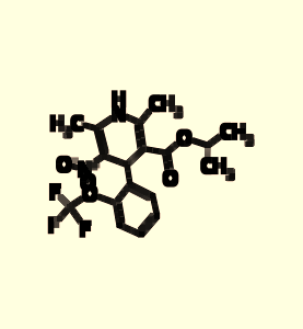 CC1=C(C(=O)OC(C)C)C(c2ccccc2OC(F)(F)F)C([N+](=O)[O-])=C(C)N1